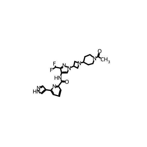 CC(=O)N1CCC(N2CC(n3cc(NC(=O)c4cccc(-c5cn[nH]c5)n4)c(C(F)F)n3)C2)CC1